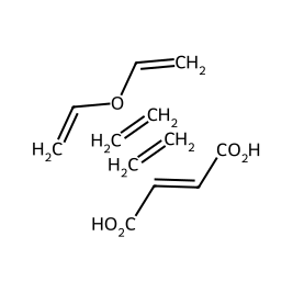 C=C.C=C.C=COC=C.O=C(O)C=CC(=O)O